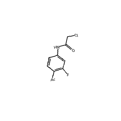 CC(=O)c1ccc(NC(=O)CCl)cc1F